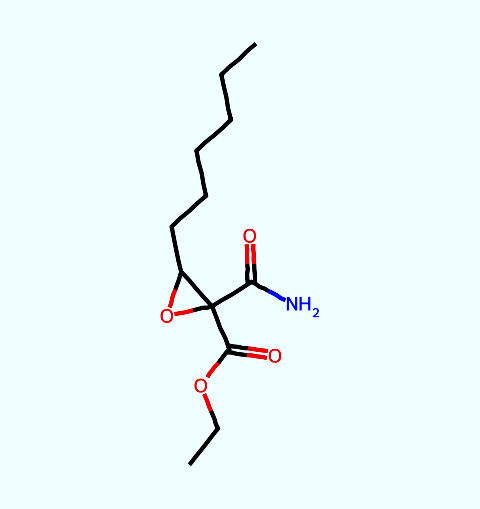 CCCCCCC1OC1(C(N)=O)C(=O)OCC